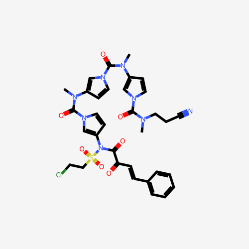 CN(CCC#N)C(=O)n1ccc(N(C)C(=O)n2ccc(N(C)C(=O)n3ccc(N(C(=O)C(=O)/C=C/c4ccccc4)S(=O)(=O)CCCl)c3)c2)c1